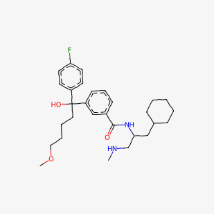 CNCC(CC1CCCCC1)NC(=O)c1cccc(C(O)(CCCCOC)c2ccc(F)cc2)c1